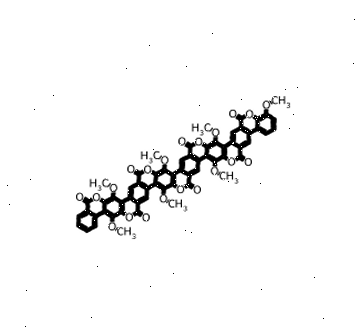 COc1cccc2c1oc(=O)c1cc3c(cc12)c(=O)oc1c(OC)c2c(oc(=O)c4cc5c(cc42)c(=O)oc2c(OC)c4c(oc(=O)c6cc7c(cc64)c(=O)oc4c(OC)c6c(oc(=O)c8ccccc86)c(OC)c47)c(OC)c25)c(OC)c13